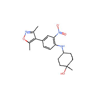 Cc1noc(C)c1-c1ccc(NC2CCC(C)(O)CC2)c([N+](=O)[O-])c1